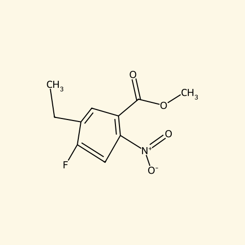 CCc1cc(C(=O)OC)c([N+](=O)[O-])cc1F